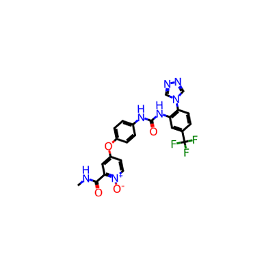 CNC(=O)c1cc(Oc2ccc(NC(=O)Nc3cc(C(F)(F)F)ccc3-n3cnnc3)cc2)cc[n+]1[O-]